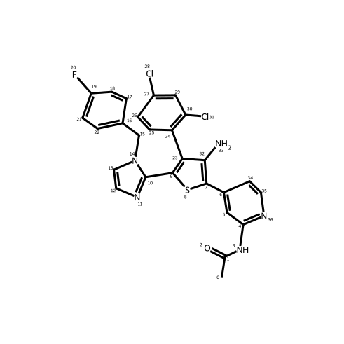 CC(=O)Nc1cc(-c2sc(-c3nccn3Cc3ccc(F)cc3)c(-c3ccc(Cl)cc3Cl)c2N)ccn1